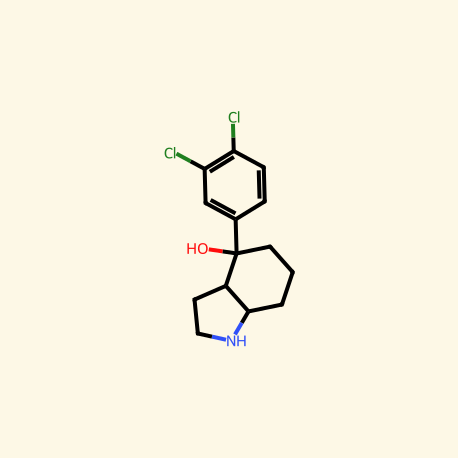 OC1(c2ccc(Cl)c(Cl)c2)CCCC2NCCC21